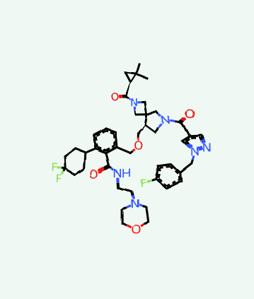 CC1(C)C[C@@H]1C(=O)N1CC2(CN(C(=O)c3cnn(Cc4ccc(F)cc4)c3)C[C@H]2COCc2cccc(C3CCC(F)(F)CC3)c2C(=O)NCCN2CCOCC2)C1